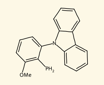 COc1cccc(-n2c3ccccc3c3ccccc32)c1P